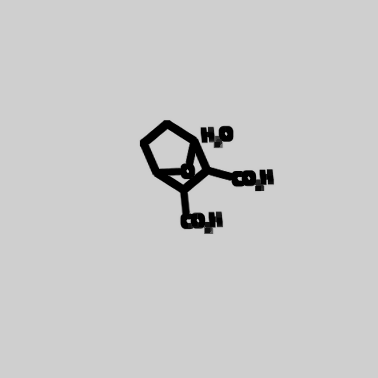 O.O=C(O)C1C2CCC(O2)C1C(=O)O